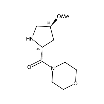 CO[C@@H]1CN[C@@H](C(=O)N2CCOCC2)C1